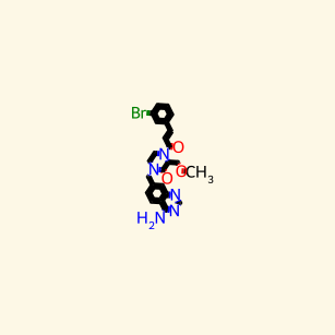 COCC1C(=O)N(Cc2ccc3c(N)ncnc3c2)CCN1C(=O)/C=C/c1cccc(Br)c1